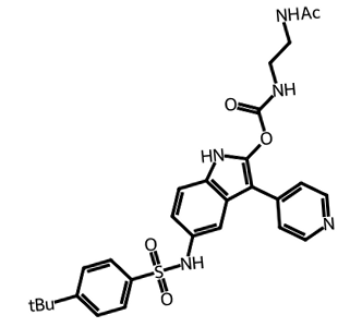 CC(=O)NCCNC(=O)Oc1[nH]c2ccc(NS(=O)(=O)c3ccc(C(C)(C)C)cc3)cc2c1-c1ccncc1